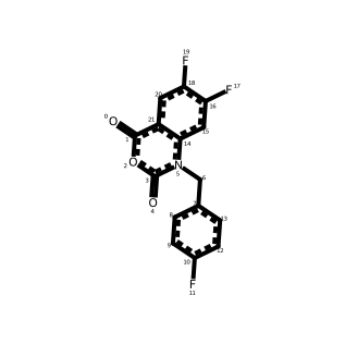 O=c1oc(=O)n(Cc2ccc(F)cc2)c2cc(F)c(F)cc12